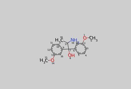 COc1cccc(C(O)(c2cccc(OC)c2)C(C)N)c1